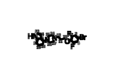 Fc1cc(Br)cc(F)c1OCCCN1CCN(c2cccc3[nH]ccc23)CC1